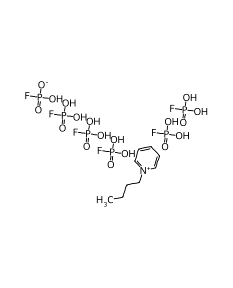 CCCC[n+]1ccccc1.O=P(O)(O)F.O=P(O)(O)F.O=P(O)(O)F.O=P(O)(O)F.O=P(O)(O)F.O=P([O-])(O)F